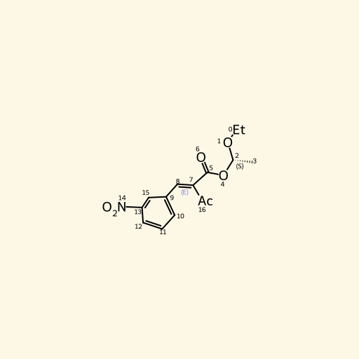 CCO[C@H](C)OC(=O)/C(=C/c1cccc([N+](=O)[O-])c1)C(C)=O